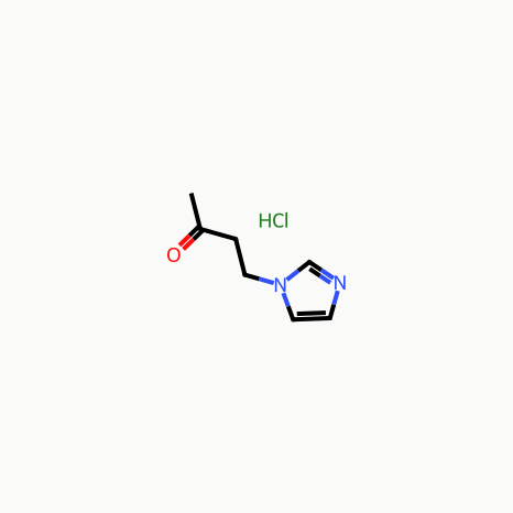 CC(=O)CCn1ccnc1.Cl